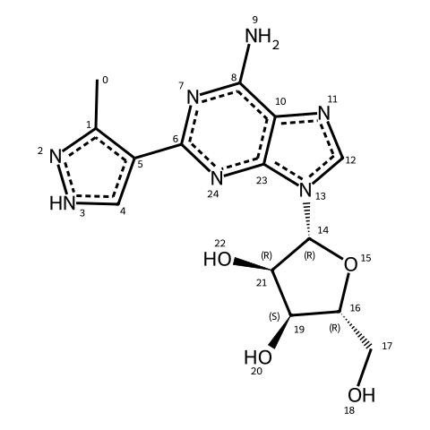 Cc1n[nH]cc1-c1nc(N)c2ncn([C@@H]3O[C@H](CO)[C@@H](O)[C@H]3O)c2n1